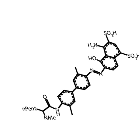 CCCCCC(NC)C(=O)Nc1ccc(-c2ccc(N=Nc3ccc4c(S(=O)(=O)O)cc(S(=O)(=O)O)c(N)c4c3O)c(C)c2)cc1C